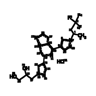 CC(CC(F)(F)F)n1cc(-c2nc(-c3cnn(CC(O)CO)c3)cn3nccc23)cn1.Cl